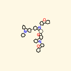 c1ccc(-n2c3ccccc3c3cc(-c4ccc5c(c4)c4c(n5-c5ccc6oc7ccccc7c6c5)CCc5c-4oc4c5ccc5c4c4ccccc4n5-c4cccc5c4oc4ccccc45)ccc32)cc1